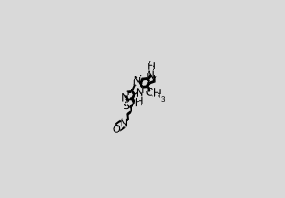 Cc1c(Nc2c(C#N)cnc3sc(C=CCN4CCOCC4)cc23)ccc2[nH]ccc12